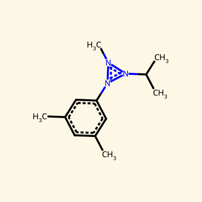 Cc1cc(C)cc(-n2n(C)n2C(C)C)c1